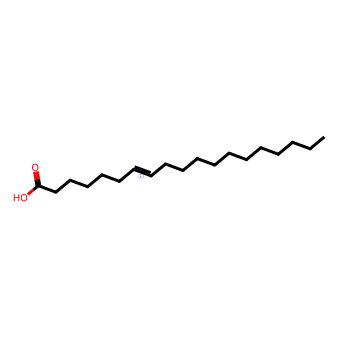 CCCCCCCCCCC/C=C/CCCCCC(=O)O